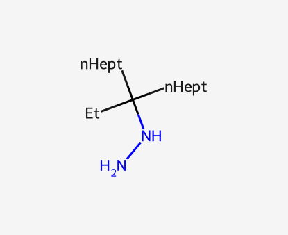 CCCCCCCC(CC)(CCCCCCC)NN